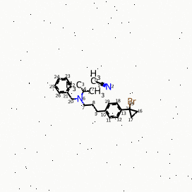 CC#N.CC(C)N(CCCc1ccc(C2(Br)CC2)cc1)Cc1ccccc1